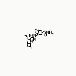 Cc1ccc(CN(c2ncnc(NCC3(CO)CCN(CC(N)=O)CC3)c2F)C2CC2)cc1